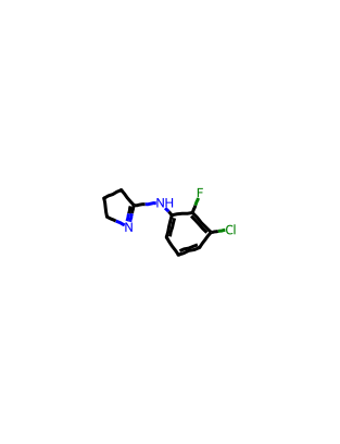 Fc1c(Cl)cccc1NC1=NCCC1